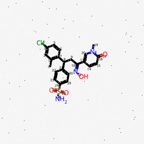 Cc1cc(Cl)ccc1C(CC(=NO)c1ccc(=O)n(C)c1)c1ccc(S(N)(=O)=O)cc1